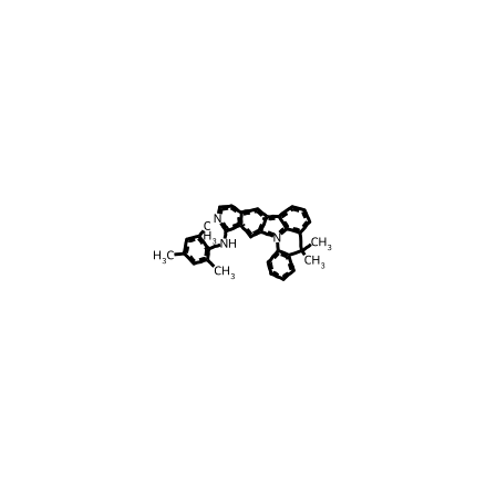 Cc1cc(C)c(Nc2nccc3cc4c5cccc6c5n(c4cc23)-c2ccccc2C6(C)C)c(C)c1